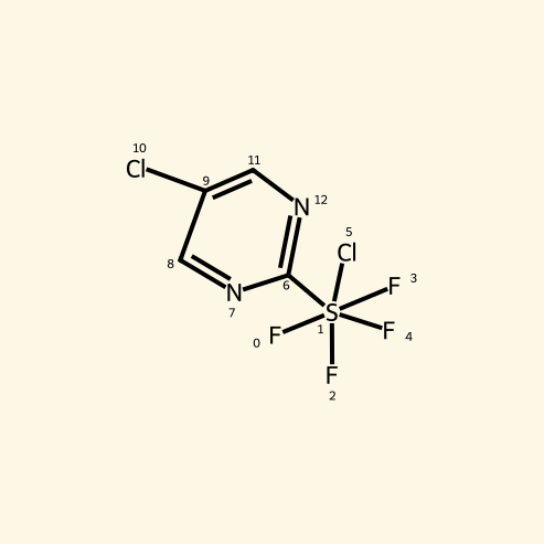 FS(F)(F)(F)(Cl)c1ncc(Cl)cn1